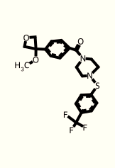 COC1(c2ccc(C(=O)N3CCN(Sc4ccc(C(F)(F)F)cc4)CC3)cc2)COC1